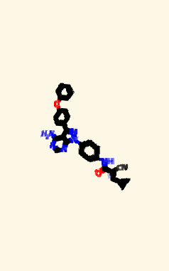 N#C/C(=C\C1CC1)C(=O)N[C@H]1CC[C@H](n2nc(-c3ccc(Oc4ccccc4)cc3)c3c(N)ncnc32)CC1